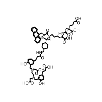 O=C(O)CCC[C@@H](OC(=O)N[C@@H](CCCCNC(=O)[C@H](Cc1c2ccccc2cc2ccccc12)NC(=O)[C@H]1CC[C@H](CNC(=O)CCc2ccc(O)c(CN(CCN(CC(=O)O)Cc3cc(CCC(=O)O)ccc3O)CC(=O)O)c2)CC1)C(=O)O)C(=O)O